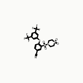 N#Cc1ccc(Sc2cc(C(F)(F)F)cc(C(F)(F)F)c2)c(S(=O)(=O)N2CCS(=O)(=O)CC2)c1